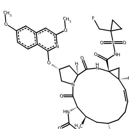 COc1ccc2c(O[C@@H]3C[C@H]4C(=O)N[C@]5(C(=O)NS(=O)(=O)C6(CF)CC6)C[C@H]5C=CCC[C@H](C)C[C@@H](C)[C@H](NC(=O)O)C(=O)N4C3)nc(OC)cc2c1